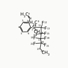 C=Cc1ccccc1[Si](C)(C)C(F)(F)C(F)(F)C(F)(F)C(F)(F)CC